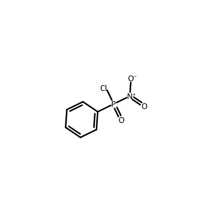 O=[N+]([O-])P(=O)(Cl)c1ccccc1